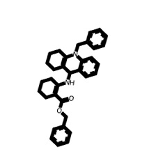 O=C(OCc1ccccc1)C1=C(NC2C3=C(CCCC3)N(Cc3ccccc3)c3ccccc32)CCCC1